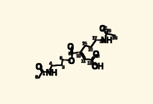 CC(=O)NCCCOC(=O)C(=CC(=O)O)CCCNC(C)=O